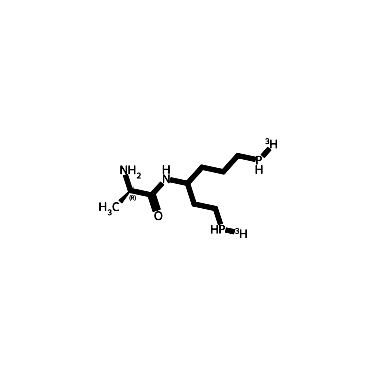 [3H]PCCCC(CCP[3H])NC(=O)[C@@H](C)N